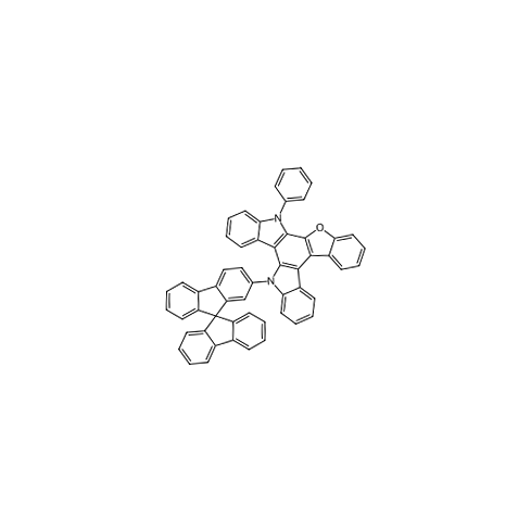 c1ccc(-n2c3ccccc3c3c2c2oc4ccccc4c2c2c4ccccc4n(-c4ccc5c(c4)C4(c6ccccc6-c6ccccc64)c4ccccc4-5)c23)cc1